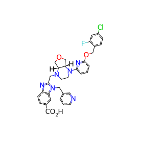 O=C(O)c1ccc2nc(CN3CCN(c4cccc(OCc5ccc(Cl)cc5F)n4)[C@H]4COC[C@H]43)n(Cc3cccnc3)c2c1